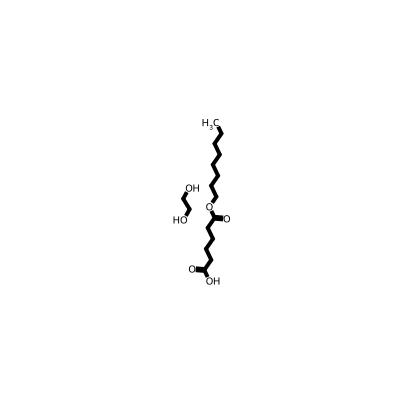 CCCCCCCCOC(=O)CCCCC(=O)O.OCCO